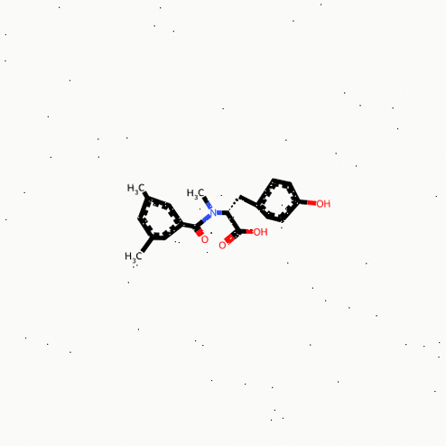 Cc1cc(C)cc(C(=O)N(C)[C@H](Cc2ccc(O)cc2)C(=O)O)c1